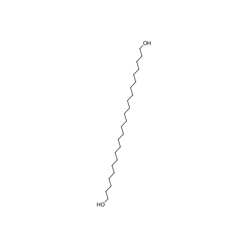 OCCCCCCCCCCCCCCCCCCCCCCCCO